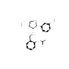 Cl.Cl.FC(F)Oc1ccccc1CN[C@H]1CCN[C@H]1c1cccc(Cl)c1